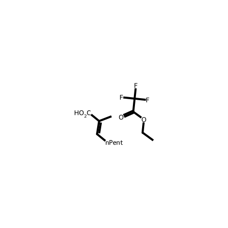 CCCCCC=C(C)C(=O)O.CCOC(=O)C(F)(F)F